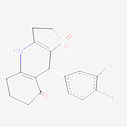 O=C1CCCC2=C1[C@@H](c1ccc(F)c(Br)c1)C1=C(CCS1(=O)=O)N2